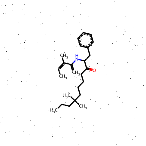 C=C(NC(Cc1ccccc1)C(=O)CCCCC(C)(C)CCC)/C(C)=C\C